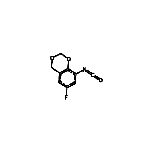 O=C=Nc1cc(F)cc2c1OCOC2